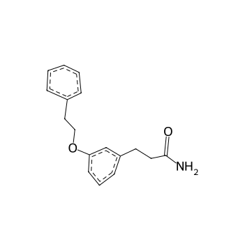 NC(=O)CCc1cccc(OCCc2ccccc2)c1